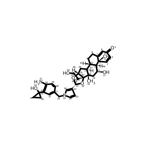 C[C@]12C=CC(=O)C=C1CC[C@@H]1[C@@H]2[C@@H](O)C[C@@]2(C)[C@H]1C[C@H]1O[C@@H](c3ccn(Cc4ccc(N)c(C5(O)CC5)c4)c3)O[C@]12C(=O)CO